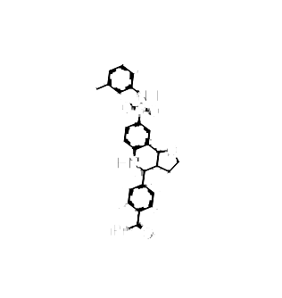 Cc1cccc(NS(=O)(=O)c2ccc3c(c2)C2OCCC2C(c2ccc(C(=O)C(C)C)cc2)N3)c1